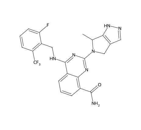 CC1c2[nH]ncc2CN1c1nc(NCc2c(F)cccc2C(F)(F)F)c2cccc(C(N)=O)c2n1